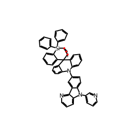 c1ccc([Si]2(c3ccccc3)c3ccccc3C3(c4ccccc4N(c4ccc5c(c4)c4ncccc4n5-c4cccnc4)c4ccccc43)c3ccccc32)cc1